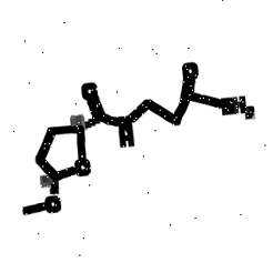 BC(=O)CCNC(=O)[C@H]1CC[C@@H](OC)O1